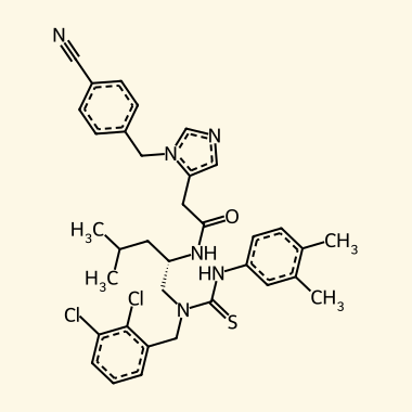 Cc1ccc(NC(=S)N(Cc2cccc(Cl)c2Cl)C[C@H](CC(C)C)NC(=O)Cc2cncn2Cc2ccc(C#N)cc2)cc1C